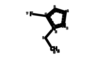 CCn1n[c]cc1F